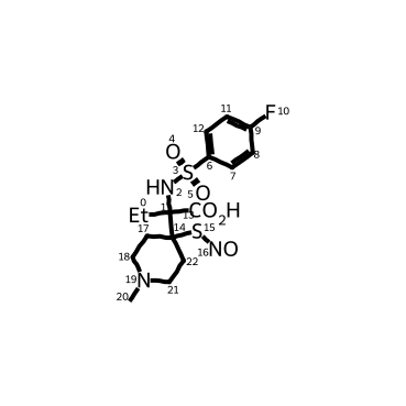 CCC(NS(=O)(=O)c1ccc(F)cc1)(C(=O)O)C1(SN=O)CCN(C)CC1